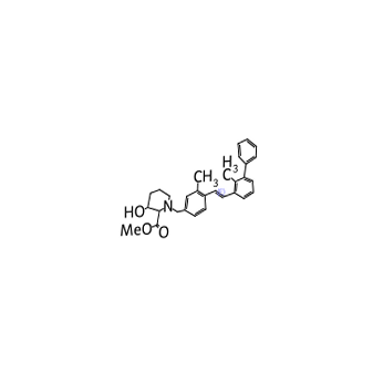 COC(=O)C1C(O)CCCN1Cc1ccc(/C=C/c2cccc(-c3ccccc3)c2C)c(C)c1